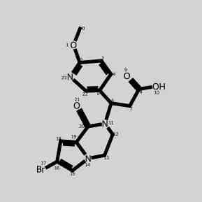 COc1ccc(C(CC(=O)O)N2CCn3cc(Br)cc3C2=O)cn1